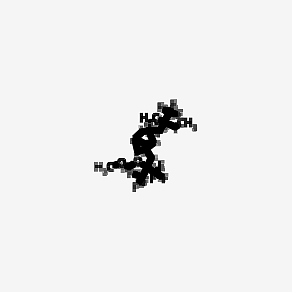 CCC(C)(CC1(C)CC2CC(CC(OCOC)(C(F)(F)F)C(F)(F)F)C1C2)C(F)(F)F